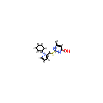 Cc1cc(O)nc(SCc2cccn2C2CCCCC2)n1